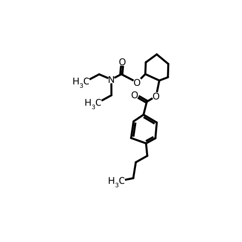 CCCCc1ccc(C(=O)OC2CCCCC2OC(=O)N(CC)CC)cc1